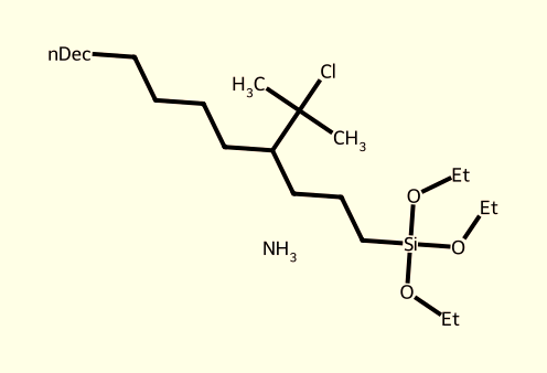 CCCCCCCCCCCCCCC(CCC[Si](OCC)(OCC)OCC)C(C)(C)Cl.N